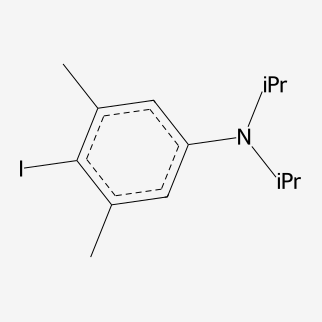 Cc1cc(N(C(C)C)C(C)C)cc(C)c1I